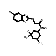 CCN(C(=O)COc1nc2cc(Cl)ccc2o1)C1=CC(C)(C)CC(C)C1